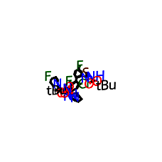 C[C@@H](CN1CCC(F)CC1)Oc1nc(N2C3CCC2CN(C(=O)OC(C)(C)C)C3)c2cc(Cl)c(-c3ccc(F)c4sc(NC(=O)OC(C)(C)C)nc34)c(F)c2n1